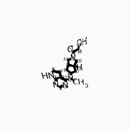 CN(c1ncnc2[nH]ccc12)[C@H]1CC2CN(C(=O)CO)C[C@@H]2C1